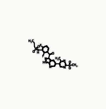 CCCS(=O)(=O)Nc1c(F)ccc(C(=O)c2n[nH]c3ncc(-c4cnc(S(C)(=O)=O)nc4C)cc23)c1F